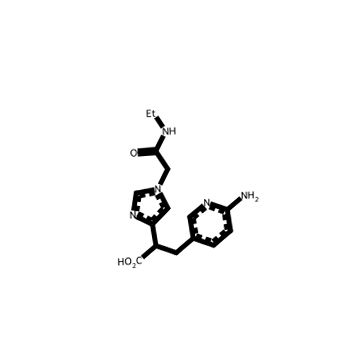 CCNC(=O)Cn1cnc(C(Cc2ccc(N)nc2)C(=O)O)c1